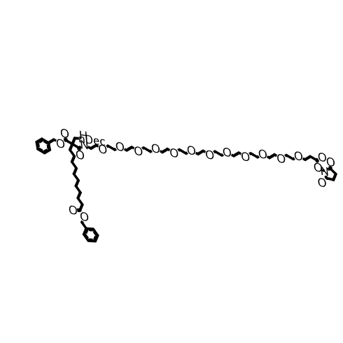 CCCCCCCCCCCC(CCCCCCCCCCC(=O)OCc1ccccc1)(C(=O)NCCOCCOCCOCCOCCOCCOCCOCCOCCOCCOCCOCCOCCC(=O)ON1C(=O)CCC1=O)C(=O)OCc1ccccc1